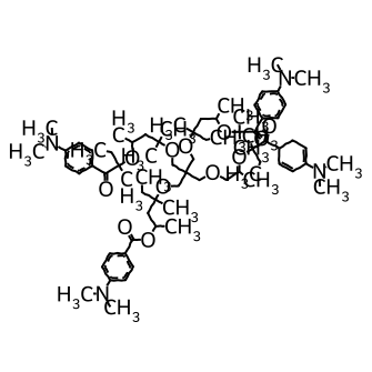 CCC(C)(CC(C)OC(=O)c1ccc(N(C)C)cc1)OCC(COCC(C)OC(C)(CC)C(=O)C1C=CC(N(C)C)=CC1)(COC(C)(C)CC(C)OC(C)(CC)C(=O)c1ccc(N(C)C)cc1)COC(C)(CC)CC(C)OC(C)(C)C(=O)c1ccc(N(C)C)cc1